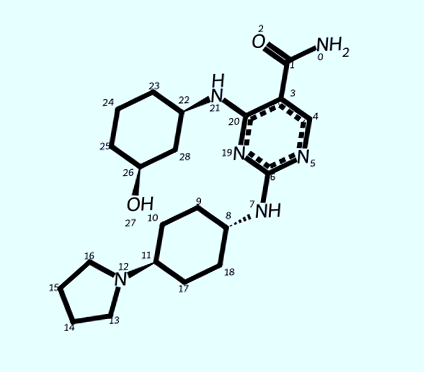 NC(=O)c1cnc(N[C@H]2CC[C@H](N3CCCC3)CC2)nc1N[C@@H]1CCC[C@H](O)C1